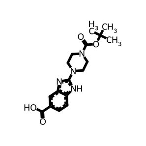 CC(C)(C)OC(=O)N1CCN(c2nc3cc(C(=O)O)ccc3[nH]2)CC1